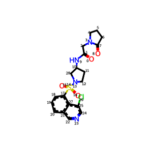 O=C(CN1CCCC1=O)N[C@H]1CCN(S(=O)(=O)c2cccc3cncc(Cl)c23)C1